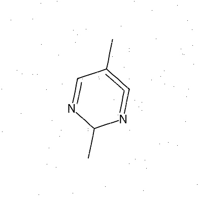 CC1=C=NC(C)N=C1